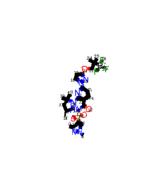 Cc1nn(C)cc1S(=O)(=O)NC(=O)c1ccc(-n2ccc(OCC(C)(C)[B-](F)(F)F)n2)nc1N1C[C@@H](C)CC1(C)C